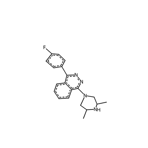 CC1CN(c2nnc(-c3ccc(F)cc3)c3ccccc23)CC(C)N1